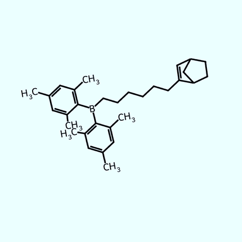 Cc1cc(C)c(B(CCCCCCC2=CC3CCC2C3)c2c(C)cc(C)cc2C)c(C)c1